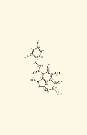 CCC12CC(O)c3c(C(=O)NCc4ccc(F)cc4F)c(=O)c(O)c(n31)C(=O)N(C)C2